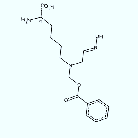 N[C@@H](CCCCN(CC=NO)COC(=O)c1ccccc1)C(=O)O